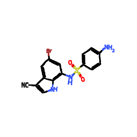 N#Cc1c[nH]c2c(NS(=O)(=O)c3ccc(N)cc3)cc(Br)cc12